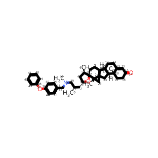 C[C@@H](C[C@@H]1C[C@@H](C)[C@@]2(CCC3[C@@H]4CCC5=CC(=O)CC[C@]5(C)[C@H]4CC34CC42C)O1)CN(C)Cc1ccc(Oc2ccccc2)cc1